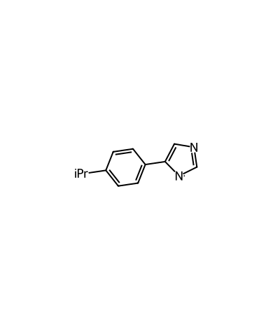 CC(C)c1ccc(C2=CN=C[N]2)cc1